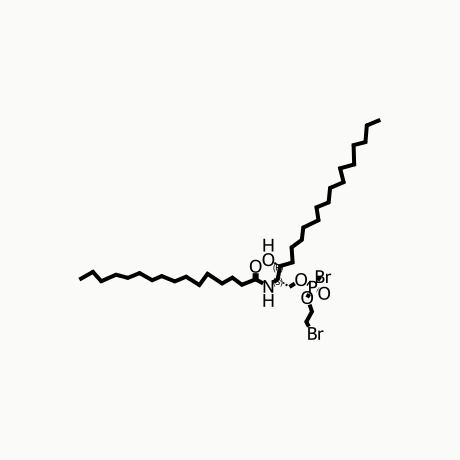 CCCCCCCCCCCCCCCC(=O)N[C@@H](COP(=O)(Br)OCCBr)[C@H](O)CCCCCCCCCCCCCCC